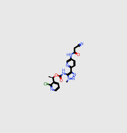 C[C@@H](OC(=O)Nc1c(-c2ccc(NC(=O)CC#N)cn2)nnn1C)c1cccnc1Cl